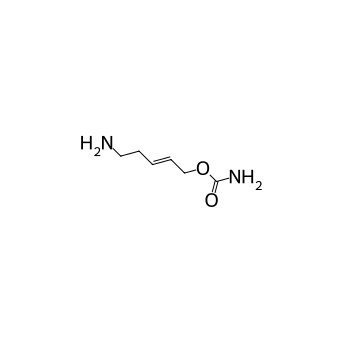 NCCC=CCOC(N)=O